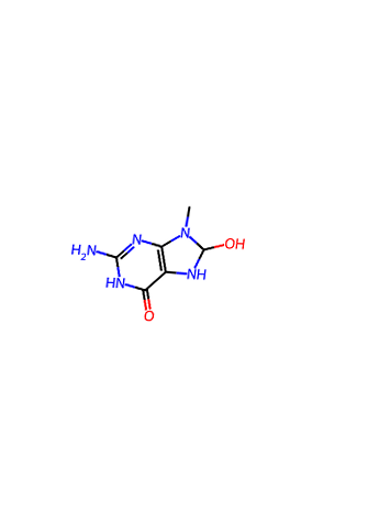 CN1c2nc(N)[nH]c(=O)c2NC1O